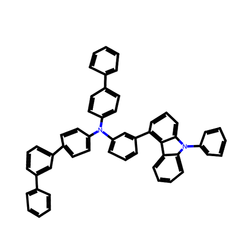 c1ccc(-c2ccc(N(c3ccc(-c4cccc(-c5ccccc5)c4)cc3)c3cccc(-c4cccc5c4c4ccccc4n5-c4ccccc4)c3)cc2)cc1